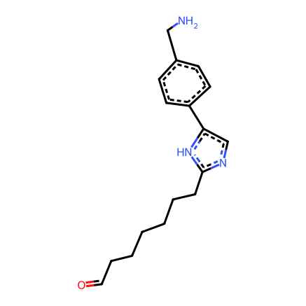 NCc1ccc(-c2cnc(CCCCCCC=O)[nH]2)cc1